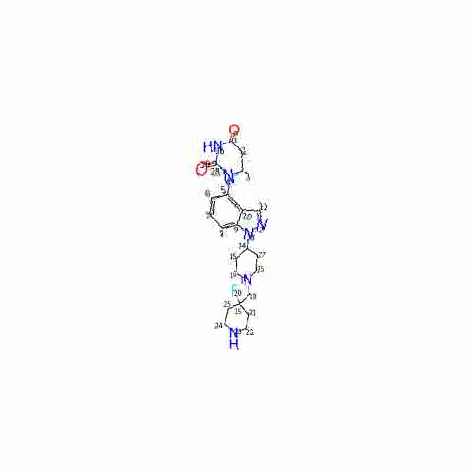 O=C1CCN(c2cccc3c2cnn3C2CCN(CC3(F)CCNCC3)CC2)C(=O)N1